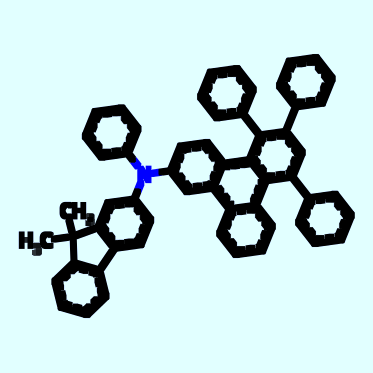 CC1(C)c2ccccc2-c2ccc(N(c3ccccc3)c3ccc4c(c3)c3ccccc3c3c(-c5ccccc5)cc(-c5ccccc5)c(-c5ccccc5)c43)cc21